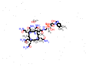 C/C1=C2/[N-][C@H]([C@H](CC(N)=O)[C@@]2(C)CCC(=O)NC[C@@H](C)OP(=O)([O-])O[C@H]2[C@@H](O)[C@@H](n3cnc4cc(C)c(C)cc43)O[C@@H]2CO)[C@]2(C)N=C(/C(C)=C3N=C(/C=C4N=C1[C@@H](CCC(N)=O)C\4(C)C)[C@@H](CCC(N)=O)[C@]\3(C)CC(N)=O)[C@@H](CCC(N)=O)[C@]2(C)CC(N)=O.[Co+3].[OH-]